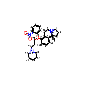 O=[N+]([O-])c1cccc([C@@H]2CN3CCC[C@@H]3c3cccc(OCCCN4CCCCC4)c32)c1